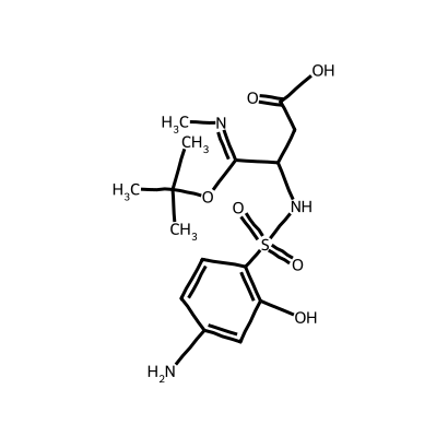 CN=C(OC(C)(C)C)C(CC(=O)O)NS(=O)(=O)c1ccc(N)cc1O